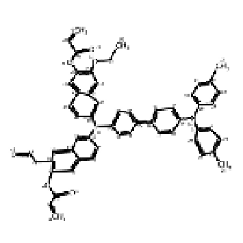 C=CC(=O)Oc1cc2ccc(N(c3ccc(-c4ccc(N(c5ccc(C)cc5)c5ccc(C)cc5)cc4)cc3)c3ccc4cc(OC(=O)C=C)c(OCC)cc4c3)cc2cc1CC=O